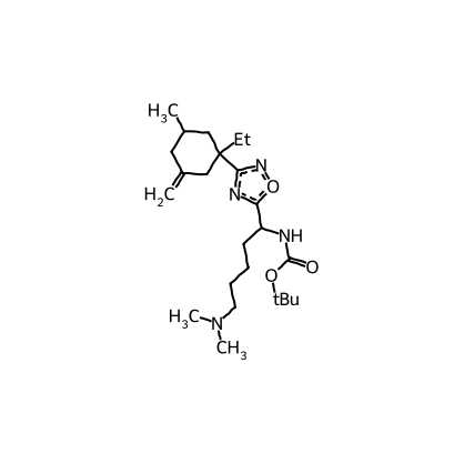 C=C1CC(C)CC(CC)(c2noc(C(CCCCN(C)C)NC(=O)OC(C)(C)C)n2)C1